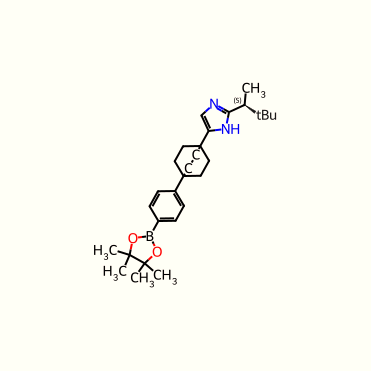 C[C@H](c1ncc(C23CCC(c4ccc(B5OC(C)(C)C(C)(C)O5)cc4)(CC2)CC3)[nH]1)C(C)(C)C